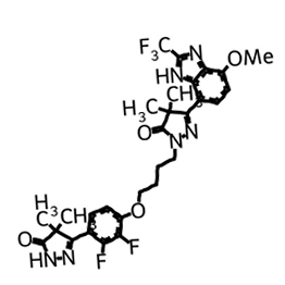 COc1ccc(C2=NN(CCCCOc3ccc(C4=NNC(=O)C4(C)C)c(F)c3F)C(=O)C2(C)C)c2[nH]c(C(F)(F)F)nc12